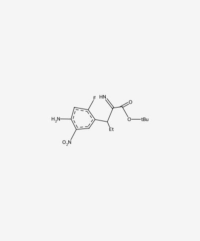 CCC(C(=N)C(=O)OC(C)(C)C)c1cc([N+](=O)[O-])c(N)cc1F